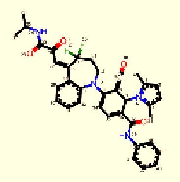 Cc1ccc(C)n1C1C(=C=O)C(N2CCC(F)(F)C(=CC(=O)C(=O)NC(C)C)c3ccccc32)=CC=C1C(=O)Nc1ccccc1